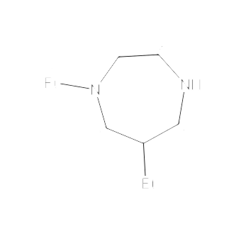 CCC1CNCCN(CC)C1